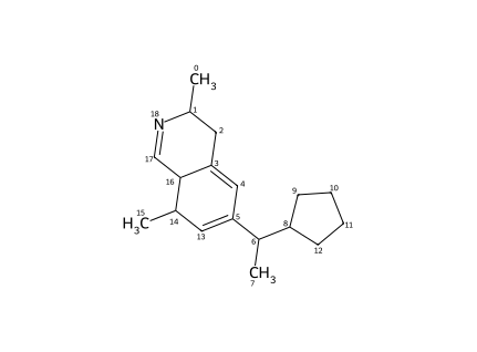 CC1CC2=CC(C(C)C3CCCC3)=CC(C)C2C=N1